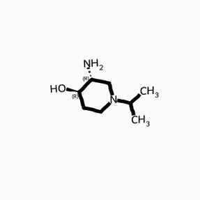 CC(C)N1CC[C@@H](O)[C@H](N)C1